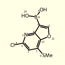 CSc1cc(Cl)nc2c(B(O)O)coc12